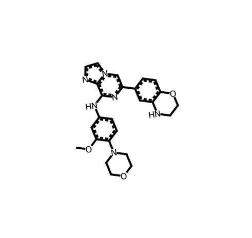 COc1cc(Nc2nc(-c3ccc4c(c3)NCCO4)cn3ccnc23)ccc1N1CCOCC1